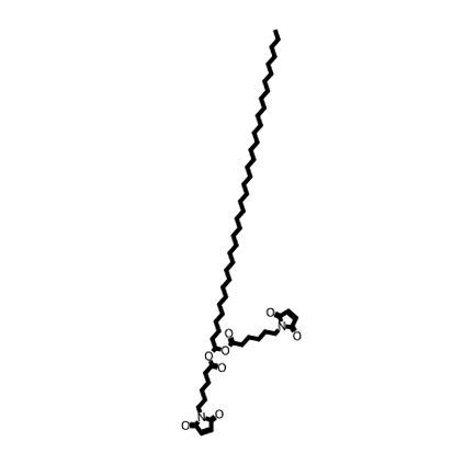 CCCCCCCCCCCCCCCCCCCCCCCCCCCCCCCCCCCCCC(OC(=O)CCCCCN1C(=O)C=CC1=O)OC(=O)CCCCCN1C(=O)C=CC1=O